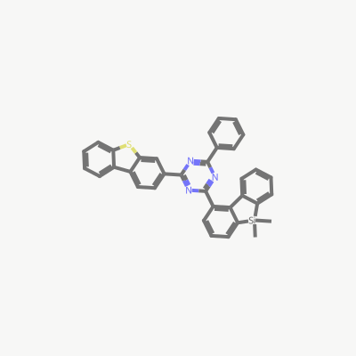 C[Si]1(C)c2ccccc2-c2c(-c3nc(-c4ccccc4)nc(-c4ccc5c(c4)sc4ccccc45)n3)cccc21